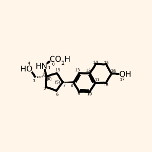 O=C(O)N[C@]1(CO)CC[C@H](c2ccc3c(c2)CCC(O)C3)C1